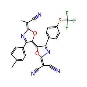 C/C(C#N)=c1\nc(-c2ccc(C)cc2)/c(=c2\oc(=C(C#N)C#N)nc2-c2ccc(SC(F)(F)F)cc2)o1